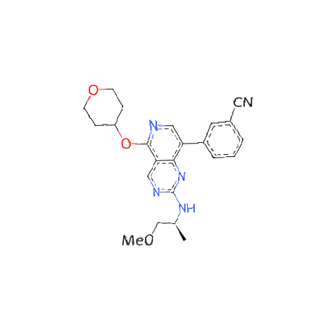 COC[C@H](C)Nc1ncc2c(OC3CCOCC3)ncc(-c3cccc(C#N)c3)c2n1